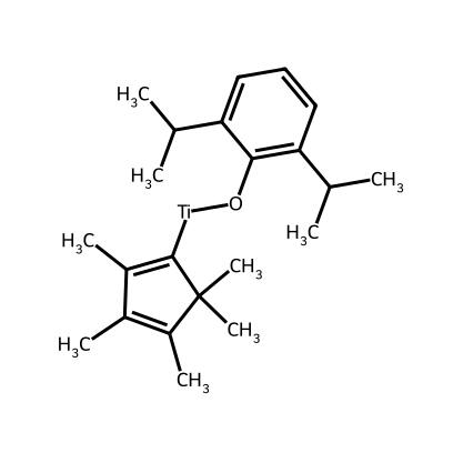 CC1=C(C)C(C)(C)[C]([Ti][O]c2c(C(C)C)cccc2C(C)C)=C1C